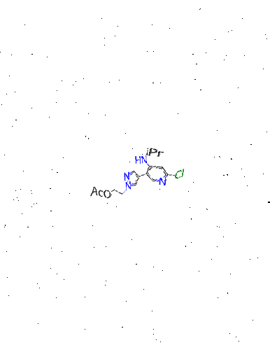 CC(=O)OCCn1cc(-c2cnc(Cl)cc2NC(C)C)cn1